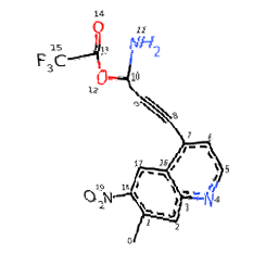 Cc1cc2nccc(C#CC(N)OC(=O)C(F)(F)F)c2cc1[N+](=O)[O-]